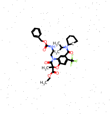 CCOC(=O)C1(C)Oc2cc(C(F)(F)F)c(C(=O)N(C(C)C)C3CCCCC3)cc2N(CCNC(=O)OCc2ccccc2)C1=O